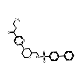 CCOC(=O)c1cnc(N2CCOC(CNS(=O)(=O)c3ccc(-c4ccccc4)cc3)C2)nc1